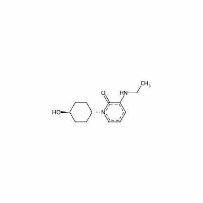 CCNc1cccn([C@H]2CC[C@H](O)CC2)c1=O